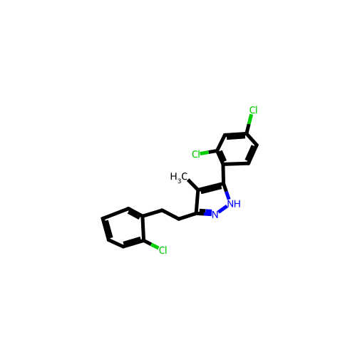 Cc1c(CCc2ccccc2Cl)n[nH]c1-c1ccc(Cl)cc1Cl